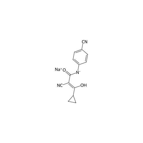 N#CC(C(=O)[N-]c1ccc(C#N)cc1)=C(O)C1CC1.[Na+]